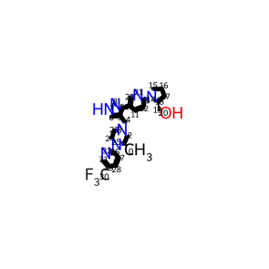 C[C@@H]1CN(Cc2c[nH]nc2-c2ccc(N3CCC[C@H]3CO)nc2)CCN1c1ccc(C(F)(F)F)cn1